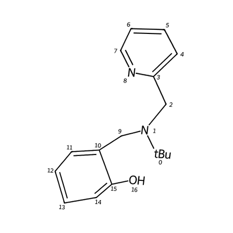 CC(C)(C)N(Cc1ccccn1)Cc1ccccc1O